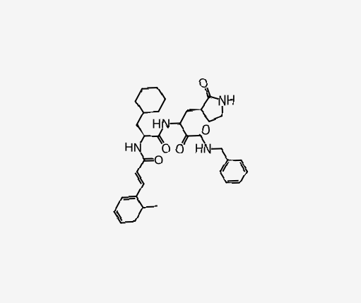 CC1CC=CC=C1/C=C/C(=O)N[C@@H](CC1CCCCC1)C(=O)NC(C[C@@H]1CCNC1=O)C(=O)C(=O)NCc1ccccc1